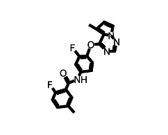 Cc1ccc(F)c(C(=O)Nc2ccc(Oc3ncnn4ccc(C)c34)c(F)c2)c1